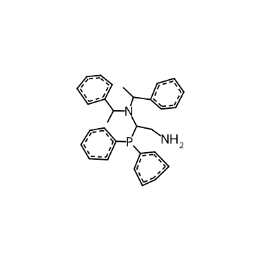 CC(c1ccccc1)N(C(C)c1ccccc1)C(CN)P(c1ccccc1)c1ccccc1